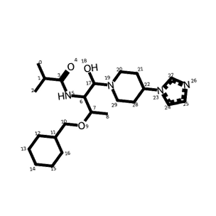 CC(C)C(=O)NC(C(C)OCC1CCCCC1)C(O)N1CCC(n2ccnc2)CC1